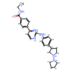 N#CCNC(=O)c1ccc(-c2ccnc(Nc3ccc(C4CCN(N5CCCC5)C4)cc3)n2)cc1